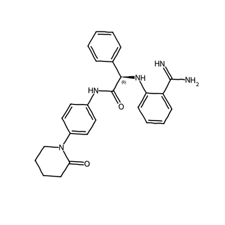 N=C(N)c1ccccc1N[C@@H](C(=O)Nc1ccc(N2CCCCC2=O)cc1)c1ccccc1